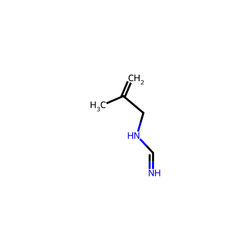 C=C(C)CNC=N